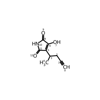 C#CCC(C)C1=C(O)C(=O)NC1=O